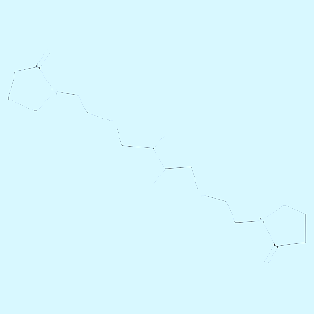 O=C1CCCN1CCSCC(O)C(O)CSCCN1CCCC1=O